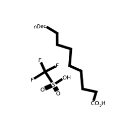 CCCCCCCCCCCCCCCCCC(=O)O.O=S(=O)(O)C(F)(F)F